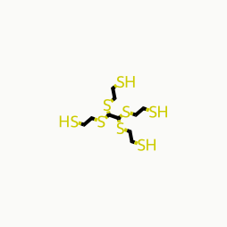 SCCSC(SCCS)C(SCCS)SCCS